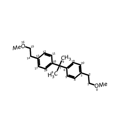 COCCc1ccc(C(C)(C)c2ccc(CCOC)cc2)cc1